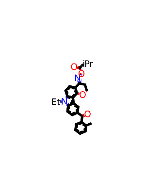 CCn1c2ccc(C(=O)c3ccccc3C)cc2c2c3c(ccc21)/C(=N/OC(=O)C(C)C)CCO3